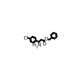 N[C@H](CC(=O)OCc1ccccc1)c1ccc(Cl)cc1